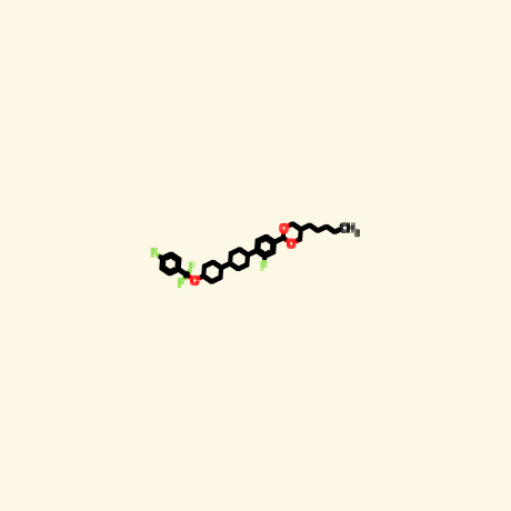 CCCCCC1COC(c2ccc(C3CCC(C4CCC(OC(F)(F)c5ccc(F)cc5)CC4)CC3)c(F)c2)OC1